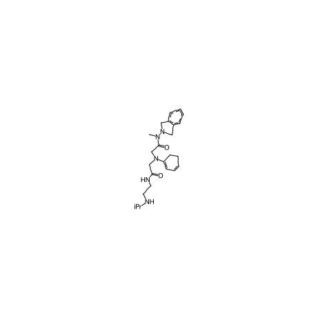 CC(C)NCCNC(=O)CN(CC(=O)N(C)N1Cc2ccccc2C1)C1=CC=CCC1